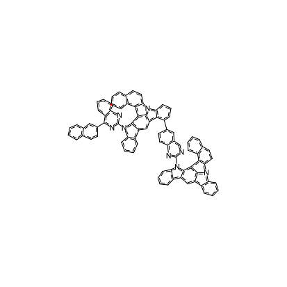 c1ccc2cc(-c3nc(-n4c5ccccc5c5cc6c7c(-c8ccc9nc(-n%10c%11ccccc%11c%11cc%12c%13ccccc%13n%13c%14ccc%15ccccc%15c%14c(c%11%10)c%12%13)ncc9c8)cccc7n7c8ccc9ccccc9c8c(c54)c67)nc4ccccc34)ccc2c1